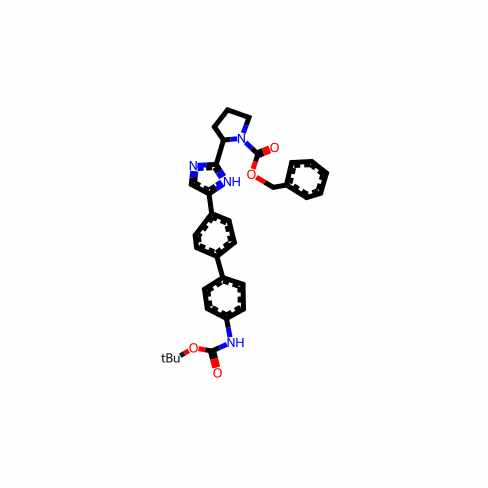 CC(C)(C)OC(=O)Nc1ccc(-c2ccc(-c3cnc(C4CCCN4C(=O)OCc4ccccc4)[nH]3)cc2)cc1